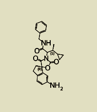 C[C@@H](C1CC1)C(C(=O)NCc1ccccc1)N1C(=O)O[C@@]2(CCc3ccc(N)cc32)C1=O